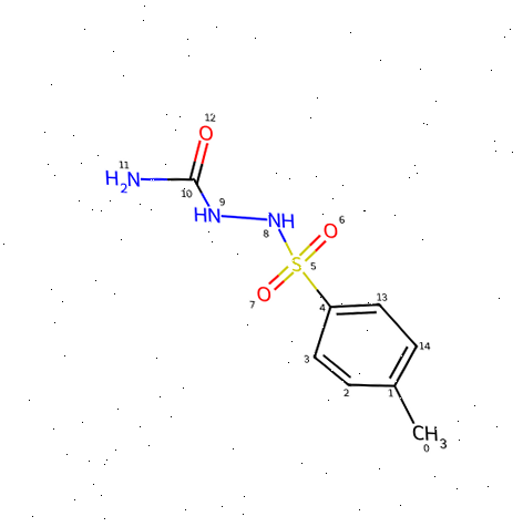 Cc1ccc(S(=O)(=O)NNC(N)=O)cc1